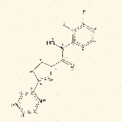 Cc1c(F)cccc1N(O)C(=O)C1C=C(c2cnccn2)CC1